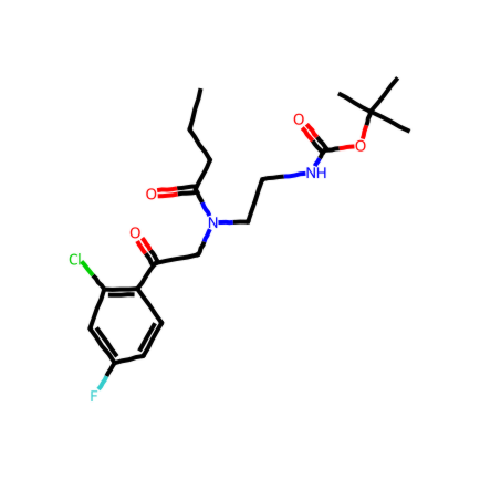 CCCC(=O)N(CCNC(=O)OC(C)(C)C)CC(=O)c1ccc(F)cc1Cl